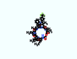 CCCC[C@@H]1NC(=O)COC(=O)[C@H](C)N(C)C(=O)[C@H](CC(C)C)NC(=O)[C@H](Cc2cn(Cc3ccc(C(F)(F)F)cc3)c3ccccc23)N(C)C(=O)[C@H](CC(C)C)NC(=O)[C@H](CC(C)C)N(C)C1=O